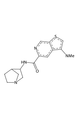 CNc1csc2cnc(C(=O)NC3CN4CCC3C4)cc12